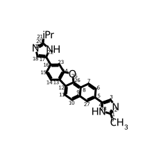 Cc1ncc(-c2ccc3c(ccc4c5ccc(-c6cnc(C(C)C)[nH]6)cc5oc34)c2)[nH]1